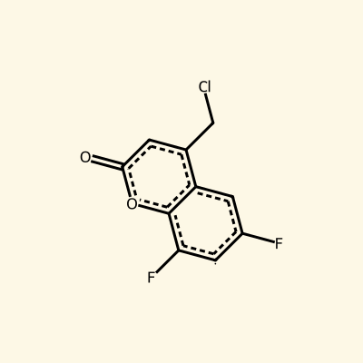 O=c1cc(CCl)c2cc(F)[c]c(F)c2o1